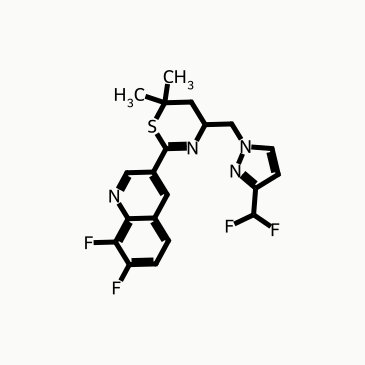 CC1(C)CC(Cn2ccc(C(F)F)n2)N=C(c2cnc3c(F)c(F)ccc3c2)S1